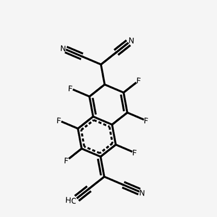 C#C/C(C#N)=c1\c(F)c(F)c2c(c1F)C(F)=C(F)C(C(C#N)C#N)C=2F